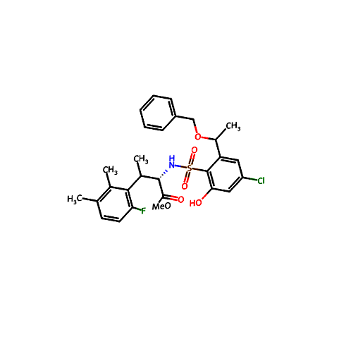 COC(=O)[C@@H](NS(=O)(=O)c1c(O)cc(Cl)cc1C(C)OCc1ccccc1)C(C)c1c(F)ccc(C)c1C